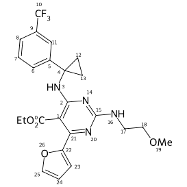 CCOC(=O)c1c(NC2(c3cccc(C(F)(F)F)c3)CC2)nc(NCCOC)nc1-c1ccco1